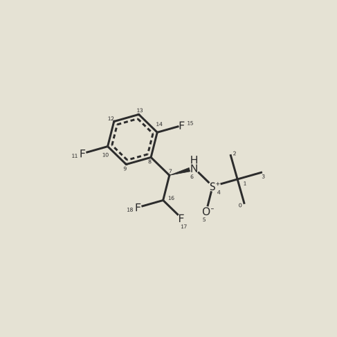 CC(C)(C)[S+]([O-])N[C@H](c1cc(F)ccc1F)C(F)F